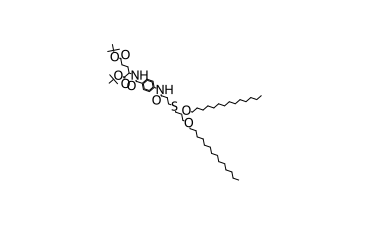 CCCCCCCCCCCCCCOCC(CSCCC(=O)Nc1ccc(C(=O)NC(CCC(=O)OC(C)(C)C)C(=O)OC(C)(C)C)cc1)OCCCCCCCCCCCCCC